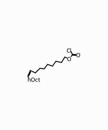 CCCCCCCC/C=C\CCCCCCCCOC(=O)Cl